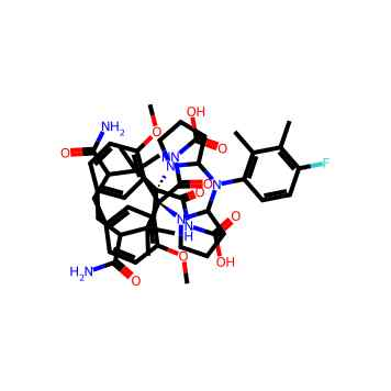 COc1ccc2cc1[C@@](C(=O)NC(=O)O)(N1CCCC1N(c1ccc(F)c(C)c1C)C1CCCN1[C@]1(C(=O)NC(=O)O)c3cc(ccc3OC)CC(C(N)=O)C1(C)C)C(C)(C)C(C(N)=O)C2